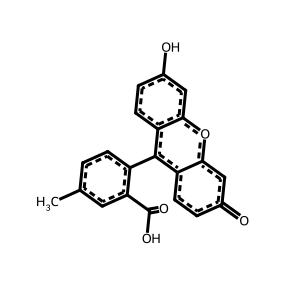 Cc1ccc(-c2c3ccc(=O)cc-3oc3cc(O)ccc23)c(C(=O)O)c1